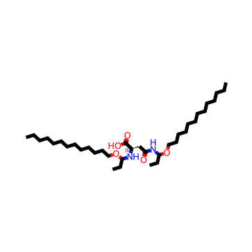 CCCCCCCCCCCCCOC(CC)NC(=O)C[C@H](NC(CC)OCCCCCCCCCCCCC)C(=O)O